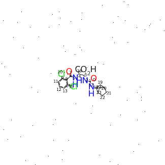 O=C(NCC(NC(=O)c1c(Cl)cccc1Cl)C(=O)O)NC1CC2CCC1C2